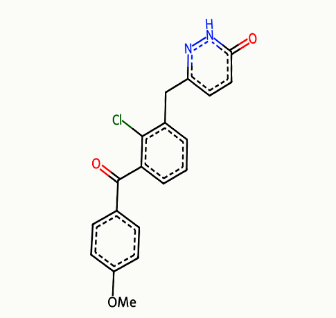 COc1ccc(C(=O)c2cccc(Cc3ccc(=O)[nH]n3)c2Cl)cc1